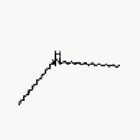 CCCCCCCCCCCCCCCCCCNC(C)(C)CCCCCCCCCCCCCCCC